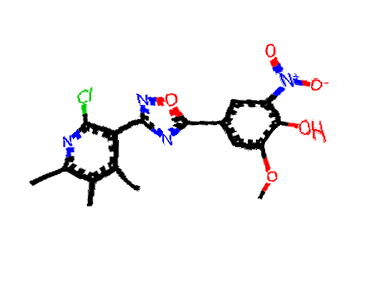 COc1cc(-c2nc(-c3c(Cl)nc(C)c(C)c3C)no2)cc([N+](=O)[O-])c1O